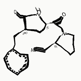 N#C[C@@H]1CCCN1C(=O)[C@@H]1C[C@@H](Cc2ccccc2)C(=O)N1